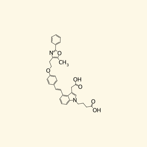 Cc1oc(-c2ccccc2)nc1CCOc1ccc(C=Cc2cccc3c2c(CC(=O)O)cn3CCCC(=O)O)cc1